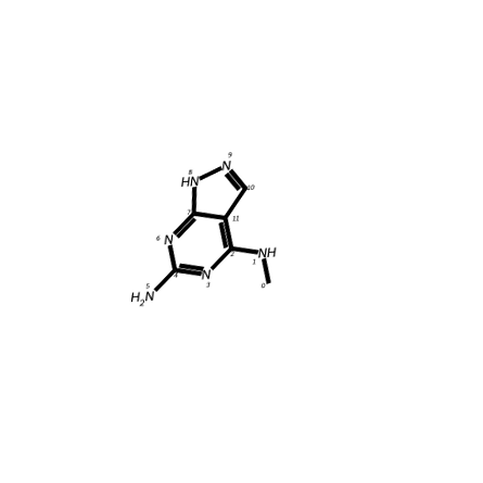 CNc1nc(N)nc2[nH]ncc12